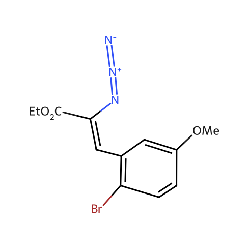 CCOC(=O)C(=Cc1cc(OC)ccc1Br)N=[N+]=[N-]